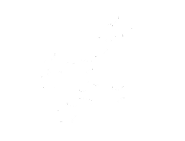 c1ccc(C2=NC(c3cc(-c4ccc(-c5ccccn5)cc4)cc(-c4cccc5ccccc45)c3)NC(c3ccccc3)=N2)cc1